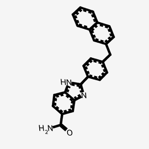 NC(=O)c1ccc2[nH]c(-c3ccc(Cc4ccc5ccccc5c4)cc3)nc2c1